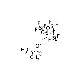 C=C(C)C(=O)OCCC[Si](O[Si](F)(F)F)(O[Si](F)(F)F)O[Si](F)(F)F